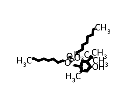 CCCCCCCCOP(=O)(Cc1cc(C(C)(C)C)c(O)cc1C)OCCCCCCCC